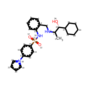 CC(NCc1ccccc1NS(=O)(=O)c1ccc(-n2cccc2)cc1)[C@H](O)C1CCCCC1